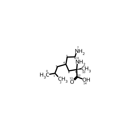 CC(C)CC(CCN)C[C@](C)(N)C(=O)O